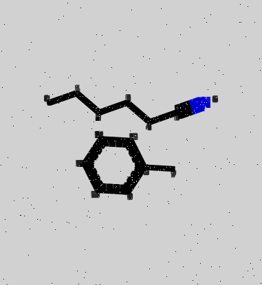 CCCCCC#N.Cc1ccccc1